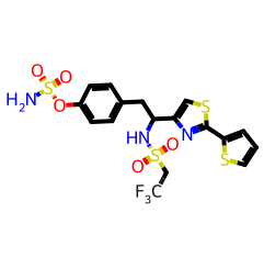 NS(=O)(=O)Oc1ccc(CC(NS(=O)(=O)CC(F)(F)F)c2csc(-c3cccs3)n2)cc1